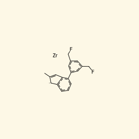 CC1=Cc2c(cccc2-c2cc(CF)cc(CF)c2)[CH]1.[Zr]